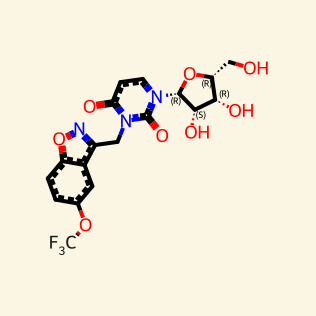 O=c1ccn([C@@H]2O[C@H](CO)[C@H](O)[C@@H]2O)c(=O)n1Cc1noc2ccc(OC(F)(F)F)cc12